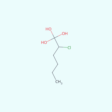 CCCCC(Cl)C(O)(O)O